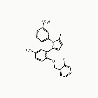 Cc1ccc(-c2cc(C(F)(F)F)ccc2OCc2ccccc2Cl)n1-c1cccc(C(=O)O)n1